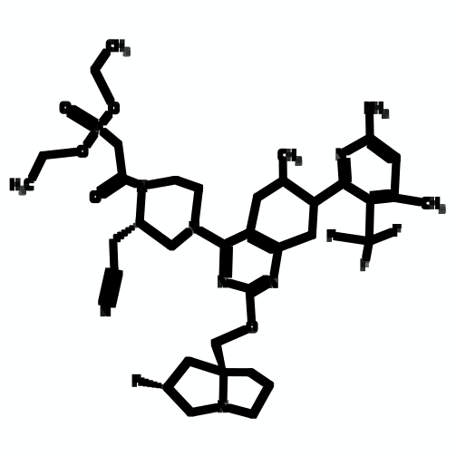 CCOP(=O)(CC(=O)N1CCN(c2nc(OC[C@@]34CCCN3C[C@H](F)C4)nc3c2CC(C)C(c2nc(N)cc(C)c2C(F)(F)F)C3)C[C@@H]1CC#N)OCC